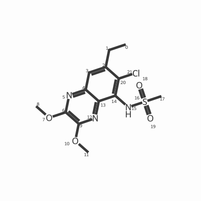 CCc1cc2nc(OC)c(OC)nc2c(NS(C)(=O)=O)c1Cl